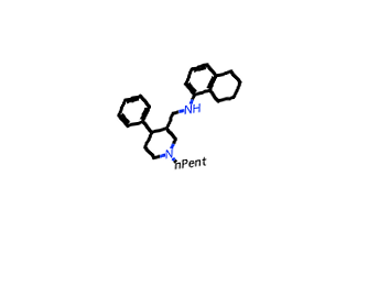 CCCCCN1CCC(c2ccccc2)C(CNc2cccc3c2CCCC3)C1